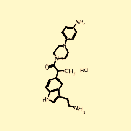 CC(C(=O)N1CCN(c2ccc(N)cc2)CC1)c1ccc2[nH]cc(CCN)c2c1.Cl